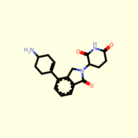 NC1CC=C(c2cccc3c2CN(C2CCC(=O)NC2=O)C3=O)CC1